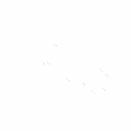 CCCCOc1cc(NCCN2CCCC2)c(C)c(N2CCN(c3ncnc4[nH]nc(Br)c34)CC2)c1